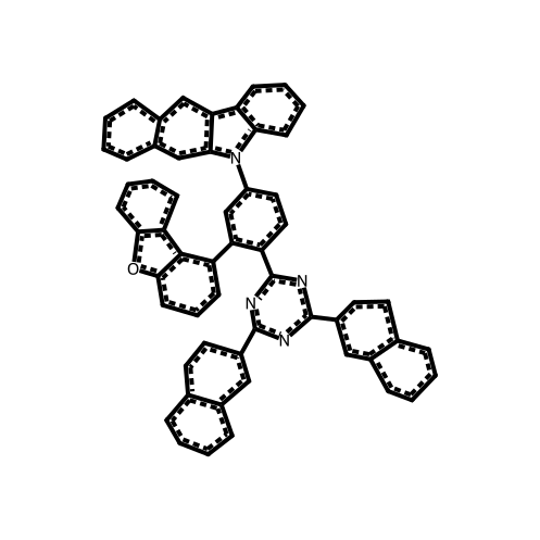 c1ccc2cc(-c3nc(-c4ccc5ccccc5c4)nc(-c4ccc(-n5c6ccccc6c6cc7ccccc7cc65)cc4-c4cccc5oc6ccccc6c45)n3)ccc2c1